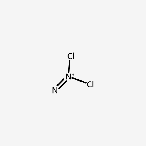 [N-]=[N+](Cl)Cl